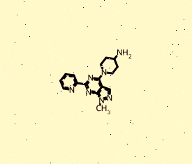 Cn1ncc2c(N3CCC(N)CC3)nc(-c3ccccn3)nc21